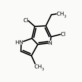 CCc1c(Cl)nc2c(C)c[nH]c2c1Cl